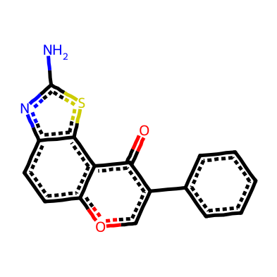 Nc1nc2ccc3occ(-c4ccccc4)c(=O)c3c2s1